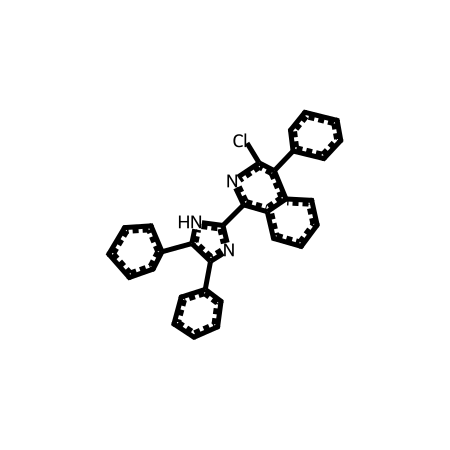 Clc1nc(-c2nc(-c3ccccc3)c(-c3ccccc3)[nH]2)c2ccccc2c1-c1ccccc1